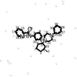 C[C@H]1CCC[C@](c2cccc(NC(=O)c3ccccn3)c2)(N2CCN(c3ccccc3)CC2)C1